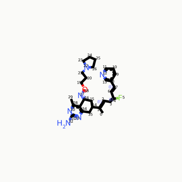 C\C(=C/C=C(F)\C=C\c1cccnc1)C1C/C(=N\OCCCN2CCCC2)c2c(C)nc(N)nc2C1